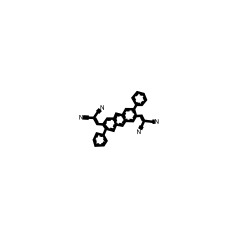 N#CC(C#N)=Cc1cc2cc3cc(-c4ccccc4)c(C=C(C#N)C#N)cc3cc2cc1-c1ccccc1